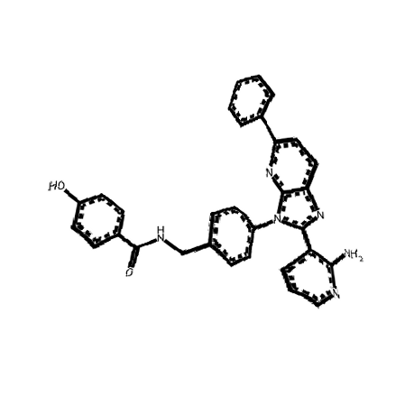 Nc1ncccc1-c1nc2ccc(-c3ccccc3)nc2n1-c1ccc(CNC(=O)c2ccc(O)cc2)cc1